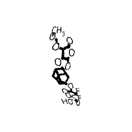 COCOC1C(=O)OC2OC3(OC21)C1CC2CC3CC(OC(=O)C(F)(F)S(=O)(=O)O)(C2)C1